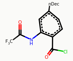 CCCCCCCCCCc1ccc(C(=O)Cl)c(NC(=O)C(F)(F)F)c1